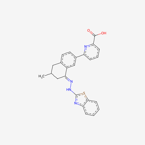 CC1CC(=NNc2nc3ccccc3s2)c2cc(-c3cccc(C(=O)O)n3)ccc2C1